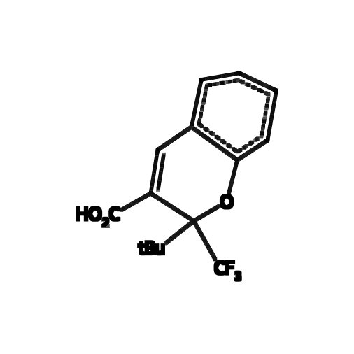 CC(C)(C)C1(C(F)(F)F)Oc2ccccc2C=C1C(=O)O